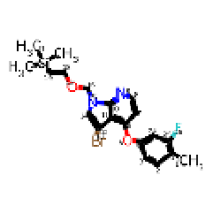 Cc1ccc(Oc2ccnc3c2c(Br)cn3COCC[Si](C)(C)C)cc1F